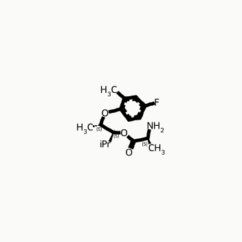 Cc1cc(F)ccc1O[C@@H](C)[C@@H](OC(=O)[C@H](C)N)C(C)C